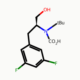 CC(C)(C)N(C(=O)O)[C@H](CO)Cc1cc(F)cc(F)c1